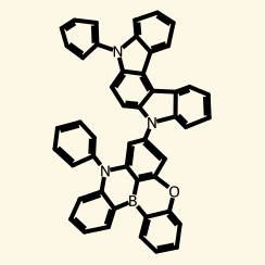 c1ccc(N2c3ccccc3B3c4ccccc4Oc4cc(-n5c6ccccc6c6c7c8ccccc8n(-c8ccccc8)c7ccc65)cc2c43)cc1